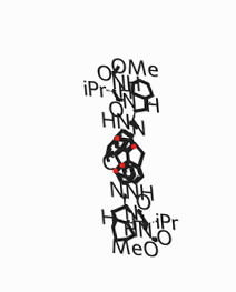 COC(=O)N[C@H](C(=O)N1[C@H](c2nc3cc(-c4cc5ccc4CCc4ccc(c(-c6ccc7[nH]c([C@@H]8C[C@@H]9CCCC[C@@H]9N8C(=O)[C@@H](NC(=O)OC)C(C)C)nc7c6)c4)CC5)ccc3[nH]2)C[C@@H]2CCCC[C@@H]21)C(C)C